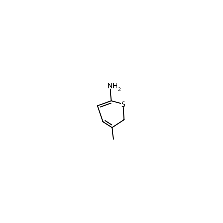 CC1=CC=C(N)SC1